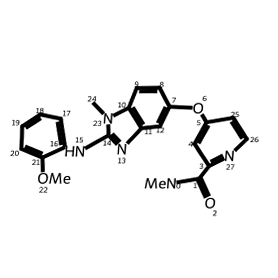 CNC(=O)c1cc(Oc2ccc3c(c2)nc(Nc2ccccc2OC)n3C)ccn1